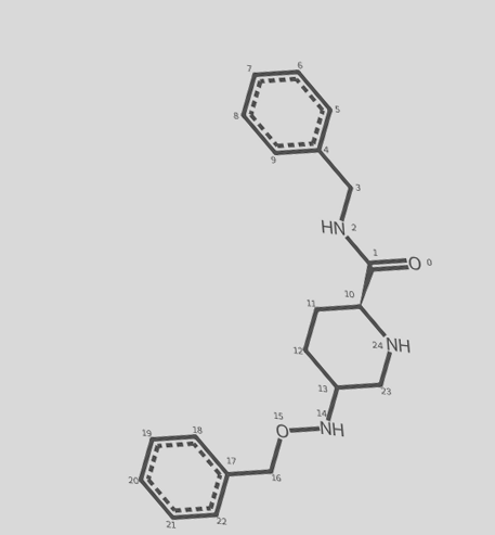 O=C(NCc1ccccc1)[C@@H]1CCC(NOCc2ccccc2)CN1